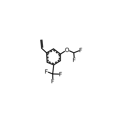 C=Cc1cc(OC(F)F)cc(C(F)(F)F)c1